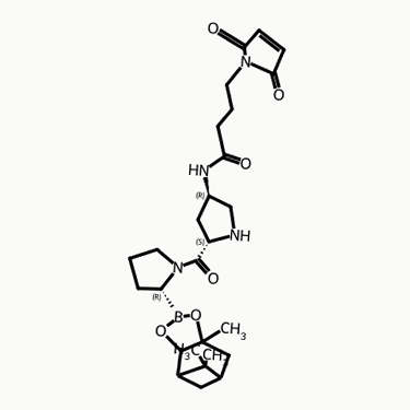 CC12CC3CC(C1OB([C@@H]1CCCN1C(=O)[C@@H]1C[C@@H](NC(=O)CCCN4C(=O)C=CC4=O)CN1)O2)C3(C)C